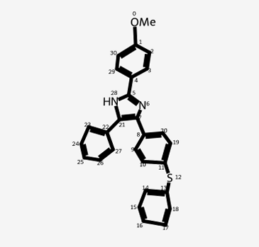 COc1ccc(-c2nc(-c3ccc(Sc4ccccc4)cc3)c(-c3ccccc3)[nH]2)cc1